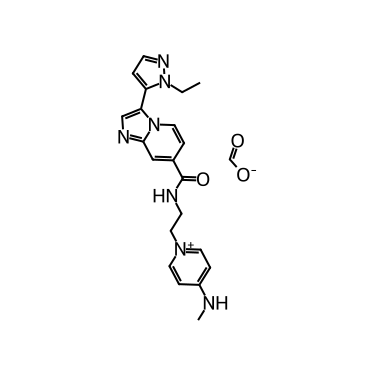 CCn1nccc1-c1cnc2cc(C(=O)NCC[n+]3ccc(NC)cc3)ccn12.O=C[O-]